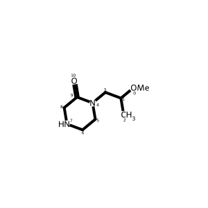 COC(C)CN1CCNCC1=O